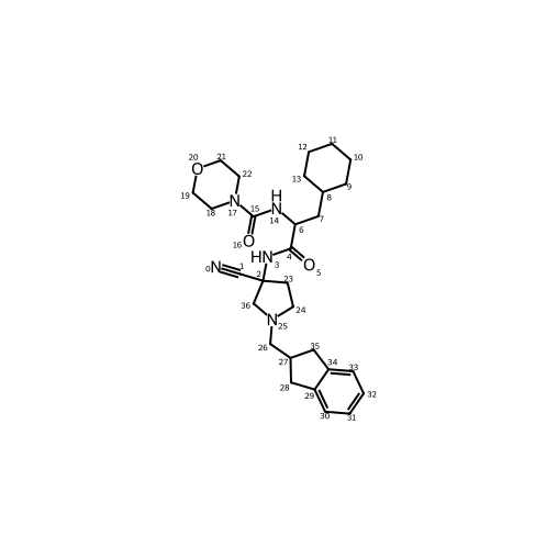 N#CC1(NC(=O)C(CC2CCCCC2)NC(=O)N2CCOCC2)CCN(CC2Cc3ccccc3C2)C1